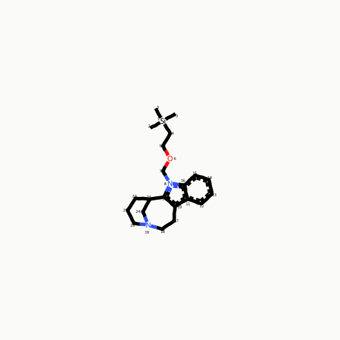 C[Si](C)(C)CCOCn1c2c(c3ccccc31)CCN1CCCC2C1